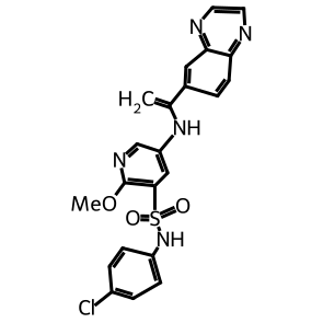 C=C(Nc1cnc(OC)c(S(=O)(=O)Nc2ccc(Cl)cc2)c1)c1ccc2nccnc2c1